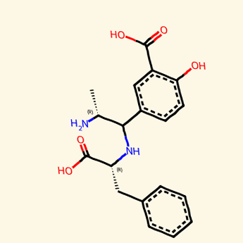 C[C@@H](N)C(N[C@H](Cc1ccccc1)C(=O)O)c1ccc(O)c(C(=O)O)c1